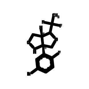 CC(F)(F)C1OC[C@]2(c3cc(Br)ccc3F)NOC[C@H]12